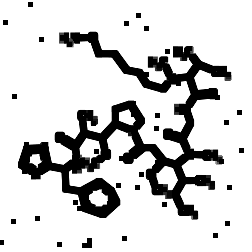 CCC(C)C(C(CC(=O)N1CCCC1C(OC)C(C)C(=O)NC(Cc1ccccc1)c1nccs1)OC)N(C)C(=O)CNC(=O)C(C(C)C)N(C)CCCCCCON